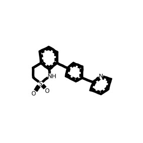 O=S1(=O)CCc2cccc(-c3ccc(-c4ccccn4)cc3)c2N1